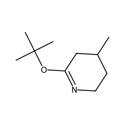 CC1CCN=C(OC(C)(C)C)C1